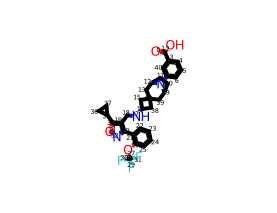 O=C(O)c1cccc(N2C3CCC2CC2(CC(NCc4c(-c5ccccc5OC(F)(F)F)noc4C4CC4)C2)C3)c1